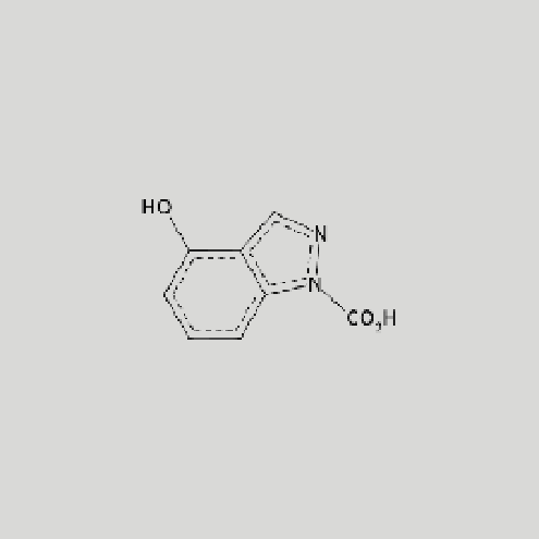 O=C(O)n1ncc2c(O)cccc21